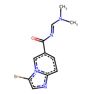 CN(C)/C=N/C(=O)c1ccc2ncc(Br)n2c1